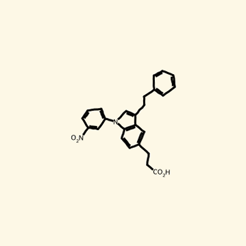 O=C(O)CCc1ccc2c(c1)c(CCc1ccccc1)cn2-c1cccc([N+](=O)[O-])c1